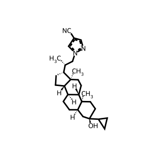 C[C@H](Cn1cc(C#N)cn1)[C@H]1CC[C@H]2[C@@H]3CC[C@@H]4C[C@@](O)(C5CC5)CC[C@]4(C)[C@H]3CC[C@]12C